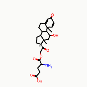 CC12C=CC(=O)C=C1CCC1C2C(O)CC2(C)C1CC[C@@H]2C(=O)COC(=O)C(N)CCC(=O)O